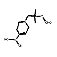 CC(C)(CN1CC=C(B(O)O)CC1)O[C]=O